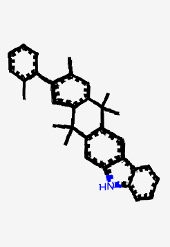 Cc1ccccc1-c1cc2c(cc1C)C(C)(C)c1cc3c(cc1C2(C)C)[nH]c1ccccc13